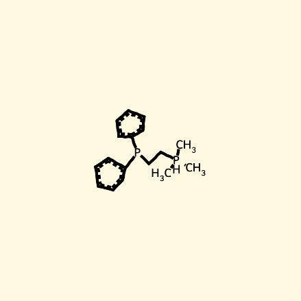 C[PH](C)(C)CCP(c1ccccc1)c1ccccc1